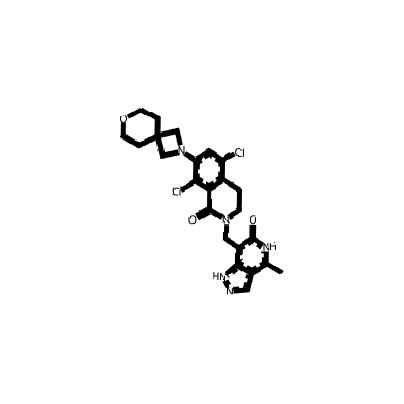 Cc1[nH]c(=O)c(CN2CCc3c(Cl)cc(N4CC5(CCOCC5)C4)c(Cl)c3C2=O)c2[nH]ncc12